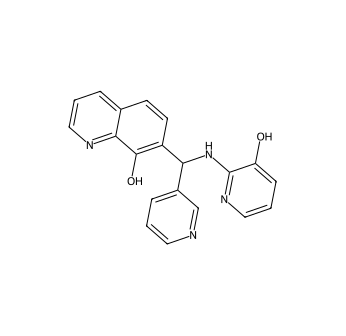 Oc1cccnc1NC(c1cccnc1)c1ccc2cccnc2c1O